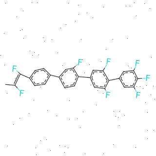 C/C(F)=C(\F)c1ccc(-c2ccc(-c3cc(F)c(-c4cc(F)c(F)c(F)c4)c(F)c3)c(F)c2)cc1